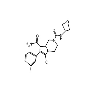 NC(=O)C1C(c2cccc(F)c2)=C(Cl)N2CCN(C(=O)NC3COC3)CC12